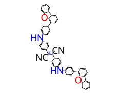 N#C/C(=C(/C#N)c1ccc(Nc2ccc(-c3cccc4c3oc3ccccc34)cc2)cc1)c1ccc(Nc2ccc(-c3cccc4c3oc3ccccc34)cc2)cc1